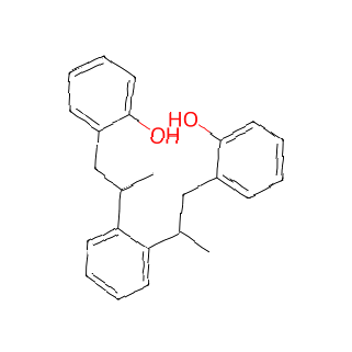 CC(Cc1ccccc1O)c1ccccc1C(C)Cc1ccccc1O